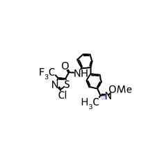 CO/N=C(/C)c1ccc(-c2ccccc2NC(=O)c2sc(Cl)nc2C(F)(F)F)cc1